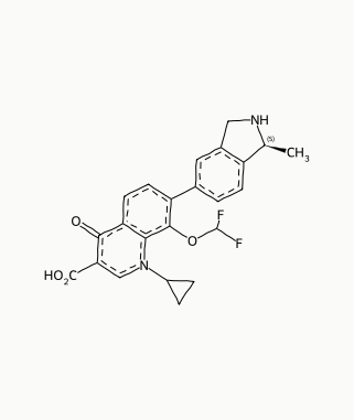 C[C@@H]1NCc2cc(-c3ccc4c(=O)c(C(=O)O)cn(C5CC5)c4c3OC(F)F)ccc21